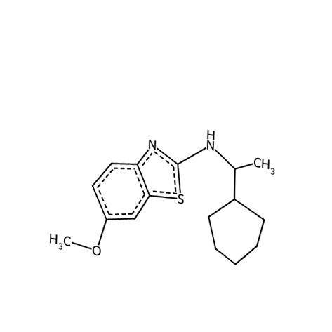 COc1ccc2nc(NC(C)C3CCCCC3)sc2c1